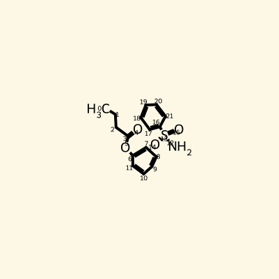 CCCC(=O)Oc1ccccc1.NS(=O)(=O)c1ccccc1